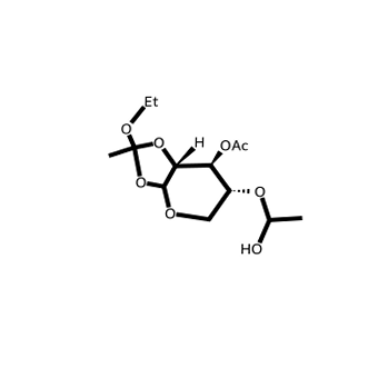 CCOC1(C)OC2OC[C@@H](OC(C)O)[C@H](OC(C)=O)[C@H]2O1